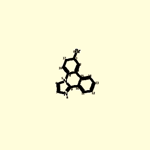 BrC1C=c2c(n3ccnc3c3ccccc23)=CC1